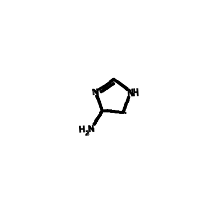 NC1[CH]NC=N1